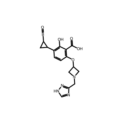 O=BC1CC1c1ccc(OC2CN(Cc3nc[nH]n3)C2)c(C(=O)O)c1O